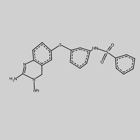 CCCN1Cc2cc(Sc3cccc(NS(=O)(=O)c4ccccc4)c3)ccc2N=C1N